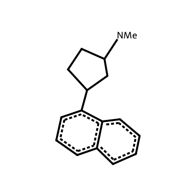 CNC1CCC(c2cccc3ccccc23)C1